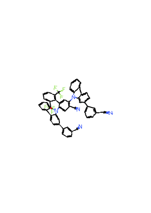 N#Cc1cccc(-c2ccc3c4ccccc4n(-c4cc(-c5c(C(F)(F)F)cccc5C(F)(F)F)c(-n5c6ccccc6c6ccc(-c7cccc(C#N)c7)cc65)cc4C#N)c3c2)c1